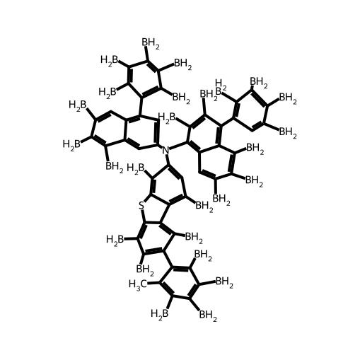 Bc1cc(-c2c(B)c(B)c(N(c3cc(-c4c(B)c(B)c(B)c(B)c4B)c4cc(B)c(B)c(B)c4c3)c3cc(B)c4c(sc5c(B)c(B)c(-c6c(B)c(B)c(B)c(B)c6C)c(B)c54)c3B)c3cc(B)c(B)c(B)c23)c(B)c(B)c1B